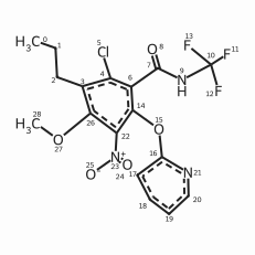 CCCc1c(Cl)c(C(=O)NC(F)(F)F)c(Oc2ccccn2)c([N+](=O)[O-])c1OC